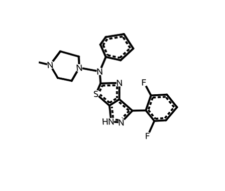 CN1CCN(N(c2ccccc2)c2nc3c(-c4c(F)cccc4F)n[nH]c3s2)CC1